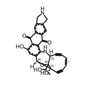 C[C@@H](O)[C@]12O[C@@H]3c4cc(O)c5c(c4N[C@H]1C#C/C=C\C#C[C@]32O)C(=O)c1cc2c(cc1C5=O)CNC2